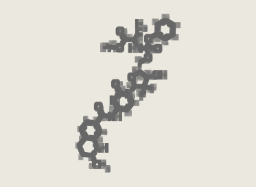 CC1CCc2ccc(C(=O)Nc3ccn(C4O[C@H](COP(=O)(N[C@H](C)C(=O)OC(C)C)Oc5ccccc5)[C@@H](O)C4(F)F)c(=O)n3)cc2N1